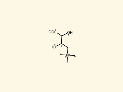 C[N+](C)(C)CC(O)C(O)C(=O)[O-]